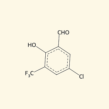 O=Cc1cc(Cl)cc(C(F)(F)F)c1O